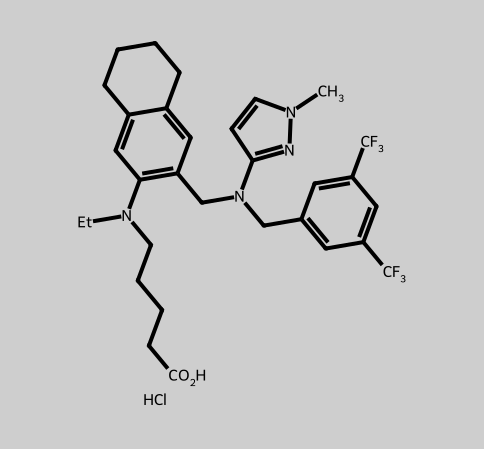 CCN(CCCCC(=O)O)c1cc2c(cc1CN(Cc1cc(C(F)(F)F)cc(C(F)(F)F)c1)c1ccn(C)n1)CCCC2.Cl